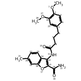 COc1ccc(CCCC(=O)Nc2c(C(N)=O)oc3cc(C)ccc23)cc1OC